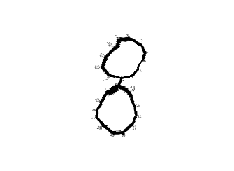 C1=C(C2CCCCCCCCCCC2)CCCCCCCCCC1